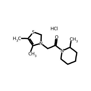 CC1=C(C)N(CC(=O)N2CCCCC2C)CS1.Cl